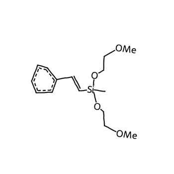 COCCO[Si](C)(C=Cc1ccccc1)OCCOC